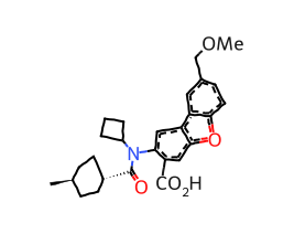 COCc1ccc2oc3cc(C(=O)O)c(N(C(=O)[C@H]4CC[C@H](C)CC4)C4CCC4)cc3c2c1